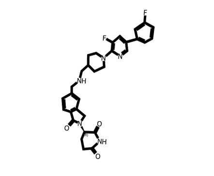 O=C1CC[C@@H](N2Cc3cc(CNCC4CCN(c5ncc(-c6cccc(F)c6)cc5F)CC4)ccc3C2=O)C(=O)N1